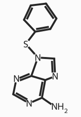 Nc1ncnc2c1ncn2Sc1ccccc1